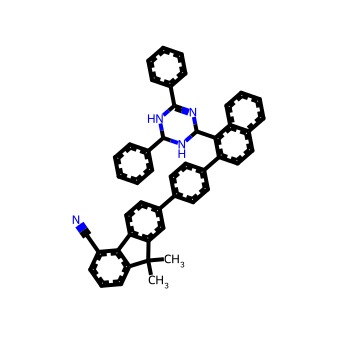 CC1(C)c2cc(-c3ccc(-c4ccc5ccccc5c4C4N=C(c5ccccc5)NC(c5ccccc5)N4)cc3)ccc2-c2c(C#N)cccc21